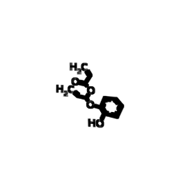 C=CC(=O)OC(C=C)Oc1ccccc1O